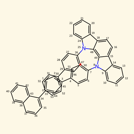 c1ccc(-c2ccc(-n3c4ccccc4c4ccc5c6ccccc6n(-c6ccc(-c7ccc(-c8cccc9ccccc89)cc7)cc6)c5c43)cc2)cc1